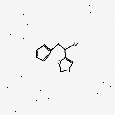 CC(=O)C(Cc1ccccc1)C1=COCO1